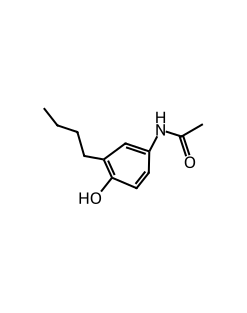 CCCCc1cc(NC(C)=O)ccc1O